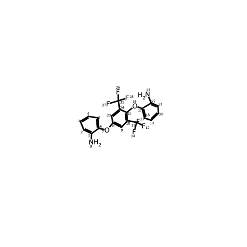 Nc1ccccc1Oc1cc(C(F)(F)F)c(Oc2ccccc2N)c(C(F)(F)F)c1